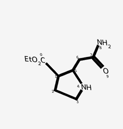 CCOC(=O)C1CCNC1CC(N)=O